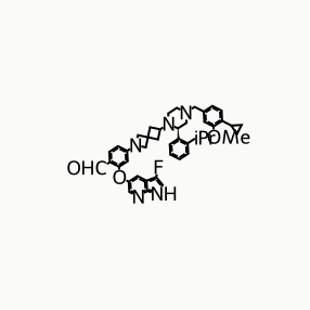 COc1cc(CN2CCN(C3CC4(C3)CN(c3ccc(C=O)c(Oc5cnc6[nH]cc(F)c6c5)c3)C4)[C@H](c3ccccc3C(C)C)C2)ccc1C1CC1